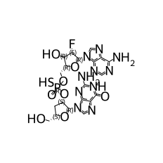 Nc1nc2c(ncn2[C@@H]2O[C@H](CO)C[C@@H]2O[P@](=O)(S)OC[C@H]2O[C@@H](n3cnc4c(N)ncnc43)[C@@H](F)[C@@H]2O)c(=O)[nH]1